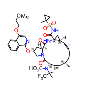 COCCOc1cnc(O[C@@H]2C[C@H]3C(=O)N[C@]4(C(=O)NS(=O)(=O)C5(C)CC5)C[C@H]4/C=C\CC[C@@H](C)C[C@@H](C)[C@H](N(C(=O)O)C(C)(C)C(F)(F)F)C(=O)N3C2)c2ccccc12